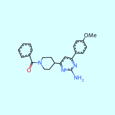 COc1ccc(-c2cc(C3CCN(C(=O)c4ccccc4)CC3)nc(N)n2)cc1